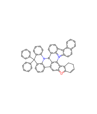 C1=Cc2oc3cc4c5c(c3c2CC1)-n1c2ccc3ccccc3c2c2cccc(c21)B5N1c2ccccc2C(c2ccccc2)(c2ccccc2)c2cccc-4c21